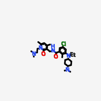 CCN(c1cc(Cl)cc(C(=O)NCc2c(C)cc(C)n(CCN(C)C)c2=O)c1C)[C@H]1CC[C@H](N(C)C)CC1